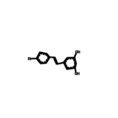 CCc1ccc(C=Cc2cc(O)cc(O)c2)cc1